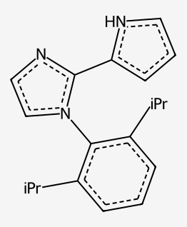 CC(C)c1cccc(C(C)C)c1-n1ccnc1-c1ccc[nH]1